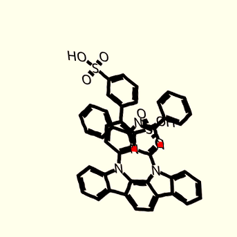 O=S(=O)(O)c1cccc(-c2ccc(-n3c4ccccc4c4ccc5c6ccccc6n(-c6nc(-c7ccccc7)nc(-c7ccccc7)n6)c5c43)cc2S(=O)(=O)O)c1